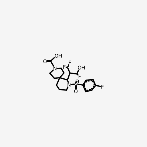 O=C(O)N1CCC2(CCCN(S(=O)(=O)c3ccc(F)cc3)C2C(C(O)F)C(F)F)CC1